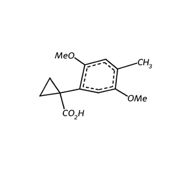 COc1cc(C2(C(=O)O)CC2)c(OC)cc1C